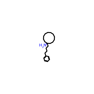 NC1(CCCCc2ccccc2)CCCCCCCCCCC1